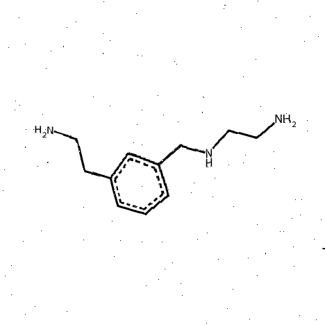 NCCNCc1cccc(CCN)c1